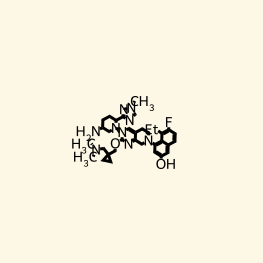 CCc1c(F)ccc2cc(O)cc(N3CCC4=CN(N5CC(N)CCC5c5ncn(C)n5)C(OCC5(CN(C)C)CC5)N=C4C3)c12